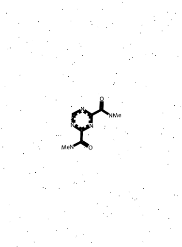 CNC(=O)c1ncnc(C(=O)NC)n1